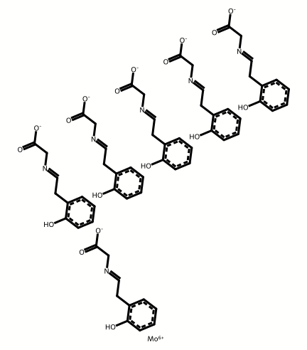 O=C([O-])CN=CCc1ccccc1O.O=C([O-])CN=CCc1ccccc1O.O=C([O-])CN=CCc1ccccc1O.O=C([O-])CN=CCc1ccccc1O.O=C([O-])CN=CCc1ccccc1O.O=C([O-])CN=CCc1ccccc1O.[Mo+6]